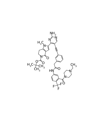 CCN1CCN(C(=O)c2cc(NC(=O)Cc3cccc(C#Cc4cnc(N)nc4-c4cc5c(n4C)CCN(C(=O)OC(C)(C)C)C5=O)c3)ccc2C(F)(F)F)CC1